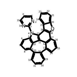 c1cnc(-n2c3cccc4c3c3c5c(cccc5c5oc6ccccc6c5c32)-c2ccccc2-4)nc1